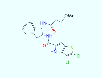 COCCC(=O)N[C@H]1c2ccccc2C[C@H]1NC(=O)c1cc2sc(Cl)c(Cl)c2[nH]1